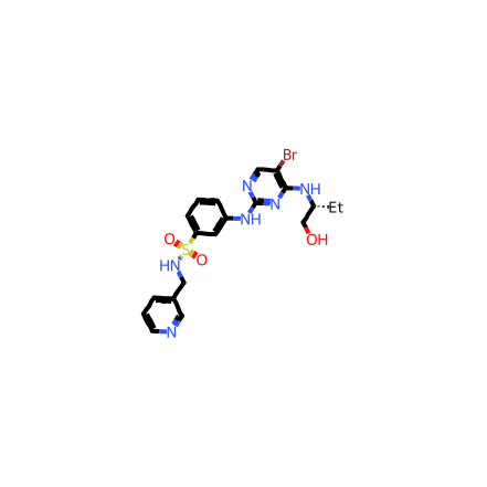 CC[C@H](CO)Nc1nc(Nc2cccc(S(=O)(=O)NCc3cccnc3)c2)ncc1Br